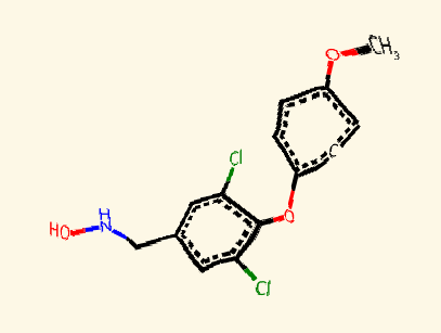 COc1ccc(Oc2c(Cl)cc(CNO)cc2Cl)cc1